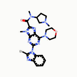 CCc1nc2ccccc2n1-c1nc(N2CCOCC2)c2nc(C(=O)N(C)C3CCN(C)C3)n(C)c2n1